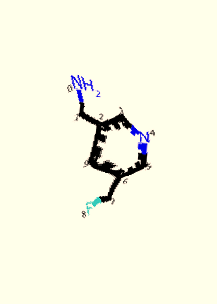 NCc1cncc(CF)c1